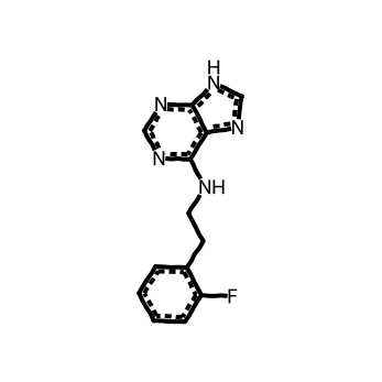 Fc1ccccc1CCNc1ncnc2[nH]cnc12